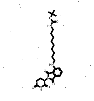 CC(C)(C)OC(=O)NCCCCCCCCCNc1cccc2c1C(=O)N(C1CCC(=O)NC1=O)C2=O